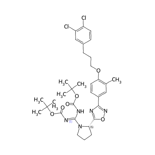 Cc1cc(-c2noc([C@@H]3CCCN3/C(=N/C(=O)OC(C)(C)C)NC(=O)OC(C)(C)C)n2)ccc1OCCCc1ccc(Cl)c(Cl)c1